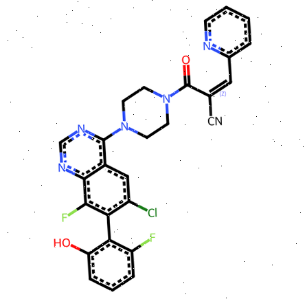 N#C/C(=C/c1ccccn1)C(=O)N1CCN(c2ncnc3c(F)c(-c4c(O)cccc4F)c(Cl)cc23)CC1